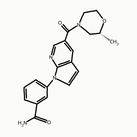 C[C@@H]1CN(C(=O)c2cnc3c(ccn3-c3cccc(C(N)=O)c3)c2)CCO1